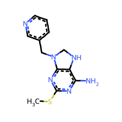 CSc1nc(N)c2c(n1)N(Cc1cccnc1)CN2